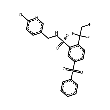 O=S(=O)(NCc1ccc(Cl)nc1)c1cc(S(=O)(=O)c2ccccc2)ccc1C(F)(F)CF